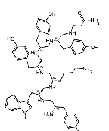 NCCCC[C@@H](CN[C@H](CN[C@H](CN[C@H](CNCCC(N)=O)Cc1ccc(O)cc1)Cc1ccc(O)cc1)Cc1ccc(O)cc1)NC[C@H](Cc1c[nH]c2ccccc12)NC[C@@H](N)Cc1ccc(O)cc1